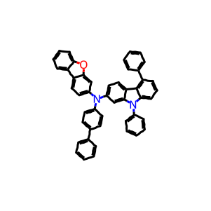 c1ccc(-c2ccc(N(c3ccc4c(c3)oc3ccccc34)c3ccc4c5c(-c6ccccc6)cccc5n(-c5ccccc5)c4c3)cc2)cc1